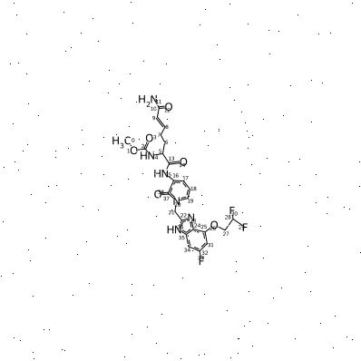 COC(=O)NC(CC/C=C/C(N)=O)C(=O)Nc1cccn(Cc2nc3c(OCC(F)F)cc(F)cc3[nH]2)c1=O